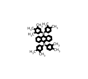 CC1=CC(N(c2ccc(C)c(C)c2)c2c3c(c(N(c4ccc(C)c(C)c4)c4ccc(C)c(C)c4)c4ccccc24)=CCCC=3)=CC(C)C1C